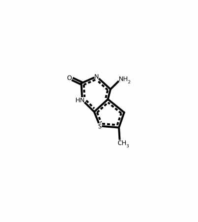 Cc1cc2c(N)nc(=O)[nH]c2s1